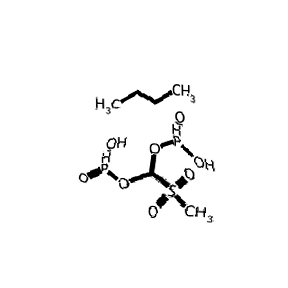 CCCC.CS(=O)(=O)C(O[PH](=O)O)O[PH](=O)O